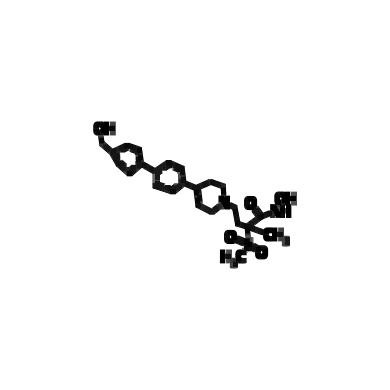 CC(CCN1CC=C(c2ccc(-c3ccc(CO)cc3)cc2)CC1)(C(=O)NO)S(C)(=O)=O